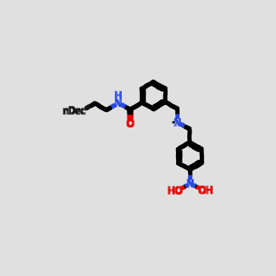 CCCCCCCCCCCCNC(=O)c1cccc(C[N]Cc2ccc(N(O)O)cc2)c1